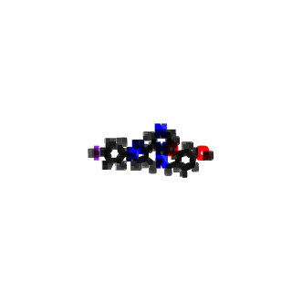 COc1ccc(CNCc2cn(-c3ccc(I)cc3)nc2-c2cccnc2)c(OC)c1